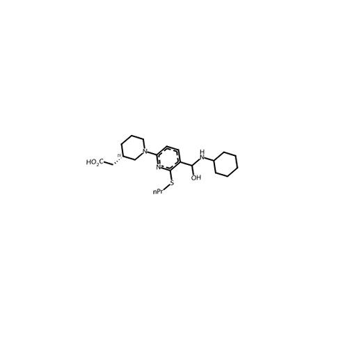 CCCSc1nc(N2CCC[C@@H](CC(=O)O)C2)ccc1C(O)NC1CCCCC1